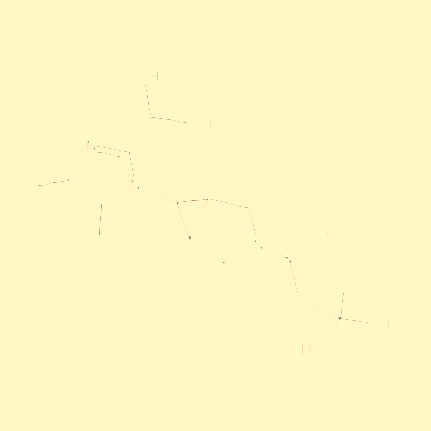 CC(C)c1nc(I)c(I)n1C1C2CN(C(=O)OC(C)(C)C)CC21